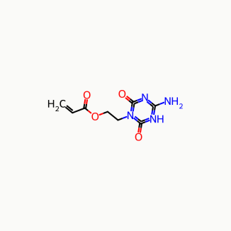 C=CC(=O)OCCn1c(=O)nc(N)[nH]c1=O